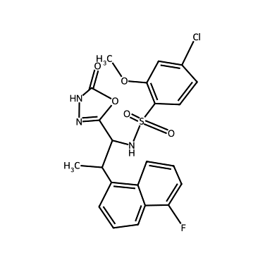 COc1cc(Cl)ccc1S(=O)(=O)NC(c1n[nH]c(=O)o1)C(C)c1cccc2c(F)cccc12